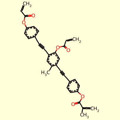 C=CC(=O)Oc1ccc(C#Cc2cc(C)c(C#Cc3ccc(OC(=O)C(=C)C)cc3)cc2OC(=O)C=C)cc1